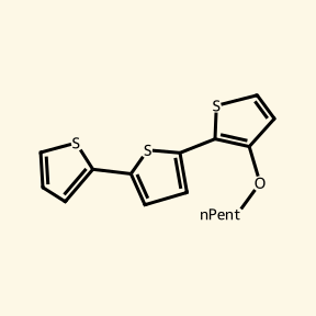 CCCCCOc1ccsc1-c1ccc(-c2cccs2)s1